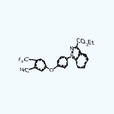 CCOC(=O)c1nn(-c2ccc(Oc3ccc(C(F)(F)F)c(C#N)c3)cc2)c2ccccc12